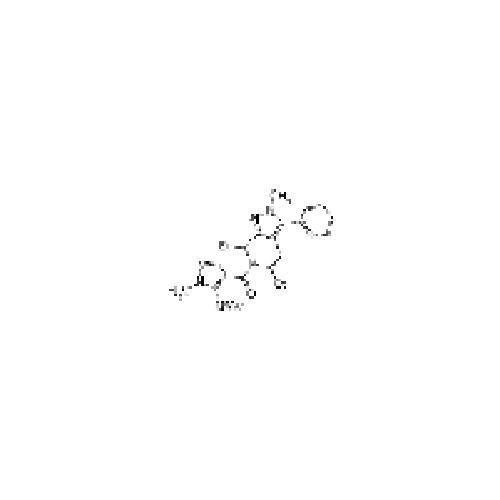 CCC1Cc2c(nn(C)c2-c2ccccc2)C(CC)N1C(=O)c1cnn(C)c1OC